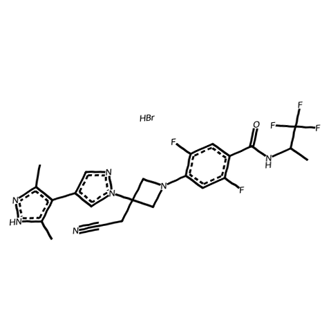 Br.Cc1n[nH]c(C)c1-c1cnn(C2(CC#N)CN(c3cc(F)c(C(=O)NC(C)C(F)(F)F)cc3F)C2)c1